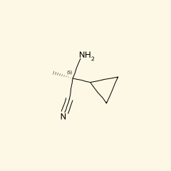 C[C@@](N)(C#N)C1CC1